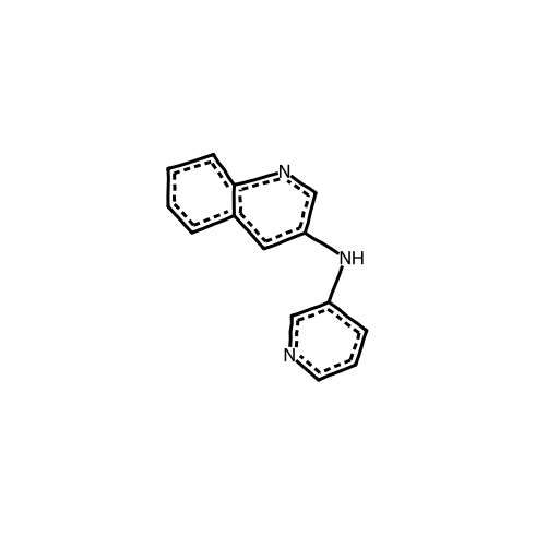 c1cncc(Nc2cnc3ccccc3c2)c1